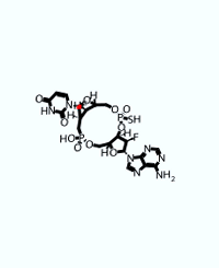 Nc1ncnc2c1ncn2[C@@H]1O[C@@H]2COP(=O)(O)C[C@@H]3[C@H](F)[C@@H](COP(=O)(S)O[C@H]2[C@H]1F)O[C@H]3n1ccc(=O)[nH]c1=O